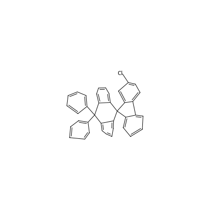 Clc1ccc2c(c1)C1(c3ccccc3-2)c2ccccc2C(c2ccccc2)(c2ccccc2)c2ccccc21